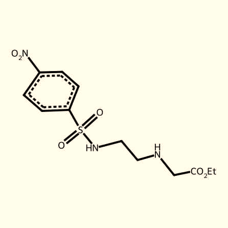 CCOC(=O)CNCCNS(=O)(=O)c1ccc([N+](=O)[O-])cc1